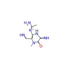 C/C(N)=N\c1[nH]c(=N)c(=O)n(C)c1C=N